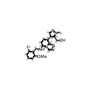 COc1cccc(F)c1CNc1ccc(-c2cnn(C)c2CO)c2nncn12